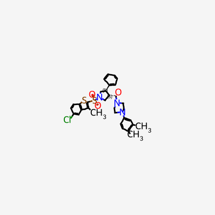 Cc1ccc(N2CCN(C(=O)[C@@H]3CN(S(=O)(=O)c4sc5ccc(Cl)cc5c4C)C[C@H]3c3ccccc3)CC2)cc1C